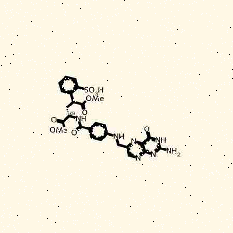 COC(=O)C(C[C@H](NC(=O)c1ccc(NCc2cnc3nc(N)[nH]c(=O)c3n2)cc1)C(=O)OC)c1ccccc1S(=O)(=O)O